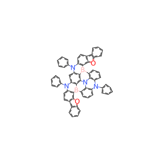 c1ccc(N2c3cccc4c3N3c5c(cccc52)B2c5c(cc6c(c53)B4c3c(ccc4c3oc3ccccc34)N6c3ccccc3)N(c3ccccc3)c3ccc4c(oc5ccccc54)c32)cc1